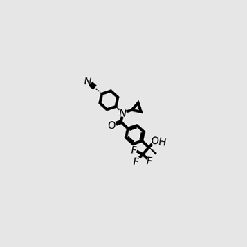 C[C@](O)(c1ccc(C(=O)N(C2CC2)[C@H]2CC[C@@H](C#N)CC2)cc1)C(F)(F)F